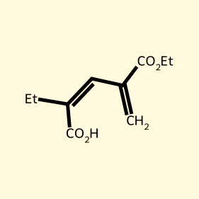 C=C(C=C(CC)C(=O)O)C(=O)OCC